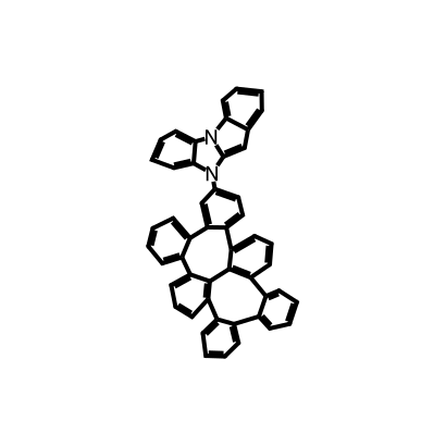 c1ccc2c(c1)cc1n(-c3ccc4c5cccc6c5-c5c(cccc5c5ccccc5c4c3)c3ccccc3c3ccccc63)c3ccccc3n21